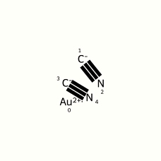 [Au+2].[C-]#N.[C-]#N